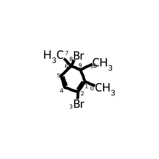 CC1=C(Br)C=CC(C)(Br)C1C